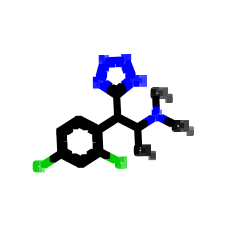 CC(C(c1nnn[nH]1)c1ccc(Cl)cc1Cl)N(C)C